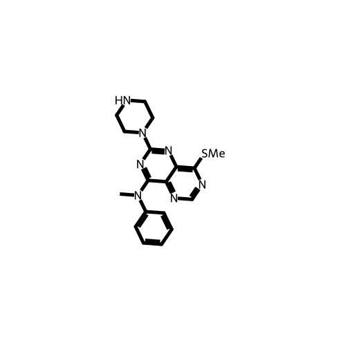 CSc1ncnc2c(N(C)c3ccccc3)nc(N3CCNCC3)nc12